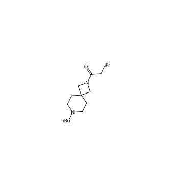 CCCCN1CCC2(CC1)CN(C(=O)CC(C)C)C2